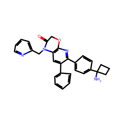 NC1(c2ccc(-c3nc4c(cc3-c3ccccc3)N(Cc3ccccn3)C(=O)CO4)cc2)CCC1